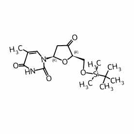 Cc1cn([C@H]2CC(=O)[C@@H](CO[Si](C)(C)C(C)(C)C)O2)c(=O)[nH]c1=O